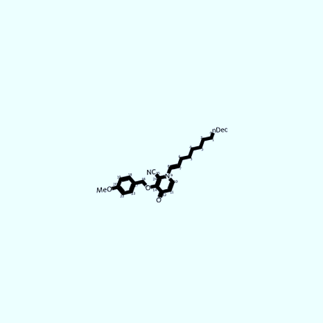 CCCCCCCCCCCCCCCCC=Cn1ccc(=O)c(OCc2ccc(OC)cc2)c1C#N